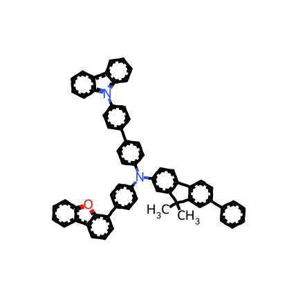 CC1(C)c2cc(-c3ccccc3)ccc2-c2ccc(N(c3ccc(-c4ccc(-n5c6ccccc6c6ccccc65)cc4)cc3)c3ccc(-c4cccc5c4oc4ccccc45)cc3)cc21